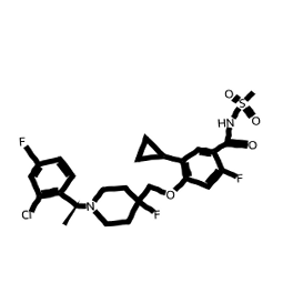 C[C@@H](c1ccc(F)cc1Cl)N1CCC(F)(COc2cc(F)c(C(=O)NS(C)(=O)=O)cc2C2CC2)CC1